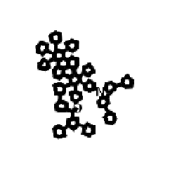 O=C(c1cccc(-c2cccc(-c3c(-c4ccccc4)c(-c4ccc(-n5c6ccc(-c7ccccc7)cc6c6cc(-c7ccccc7)ccc65)cc4)c(-c4ccccc4)c4c5cccc6c7c(-c8ccccc8)c(-c8ccccc8)c(-c8ccccc8)c(-c8ccccc8)c7c7cccc(c34)c7c65)c2)c1)c1cc(-c2ccccc2)cc(-c2ccccc2)c1